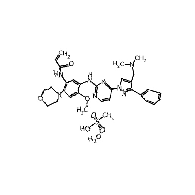 C=CC(=O)Nc1cc(Nc2nccc(-n3cc(CN(C)C)c(-c4ccccc4)n3)n2)c(OC)cc1N1CCOCC1.CS(=O)(=O)O.O